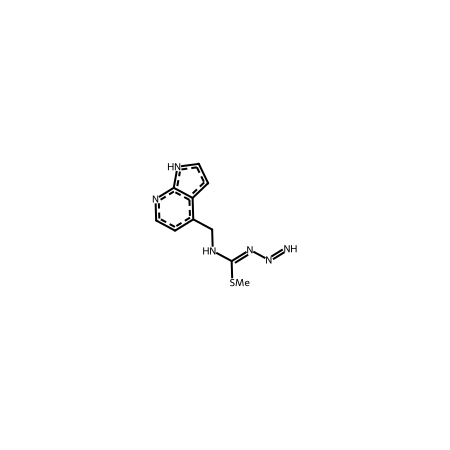 CSC(=NN=N)NCc1ccnc2[nH]ccc12